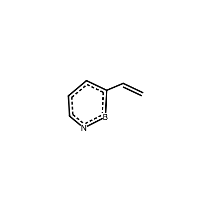 C=Cc1bnccc1